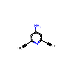 C#Cc1cc(N)cc(C#C)n1